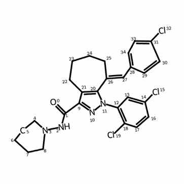 O=C(NN1CCCCC1)c1nn(-c2cc(Cl)ccc2Cl)c2c1CCCCC2=Cc1ccc(Cl)cc1